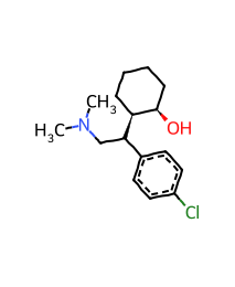 CN(C)CC(c1ccc(Cl)cc1)[C@H]1CCCC[C@H]1O